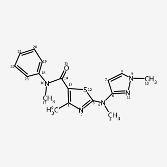 Cc1nc(N(C)c2ccn(C)n2)sc1C(=O)N(C)c1ccccc1